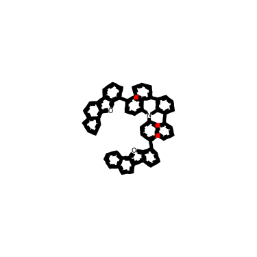 c1ccc(-c2cccc(-c3ccccc3)c2N(c2ccc(-c3cccc4c3oc3c5ccccc5ccc43)cc2)c2ccc(-c3cccc4c3oc3c5ccccc5ccc43)cc2)cc1